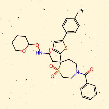 CC(C)c1ccc(-c2ccc(C3(CC(=O)NOC4CCCCO4)CCN(C(=O)c4ccccc4)CCS3(=O)=O)s2)cc1